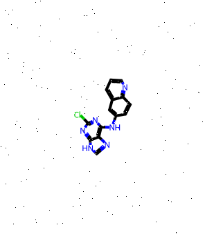 Clc1nc(Nc2ccc3ncccc3c2)c2nc[nH]c2n1